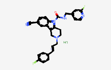 Cl.N#Cc1ccc2c(c1)c1c(n2C(=O)NCc2ccnc(F)c2)CCN(C/C=C/c2ccc(F)cc2)C1